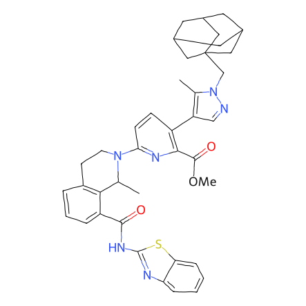 COC(=O)c1nc(N2CCc3cccc(C(=O)Nc4nc5ccccc5s4)c3C2C)ccc1-c1cnn(CC23CC4CC(CC(C4)C2)C3)c1C